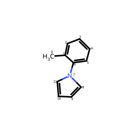 Cc1ccccc1-n1cccc1